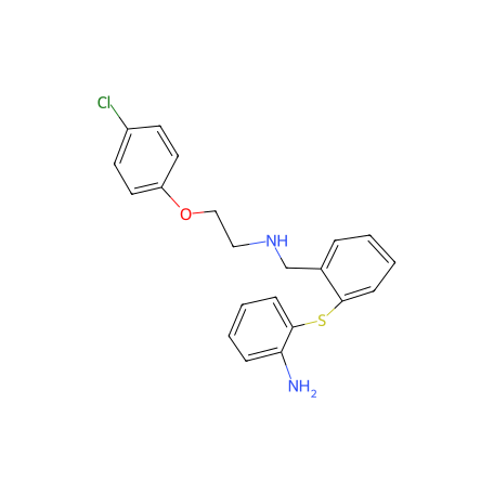 Nc1ccccc1Sc1ccccc1CNCCOc1ccc(Cl)cc1